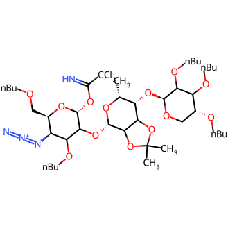 CCCCOC[C@H]1O[C@H](OC(=N)C(Cl)(Cl)Cl)C(O[C@@H]2O[C@H](C)[C@H](O[C@@H]3OC[C@@H](OCCCC)C(OCCCC)C3OCCCC)C3OC(C)(C)OC32)C(OCCCC)[C@H]1N=[N+]=[N-]